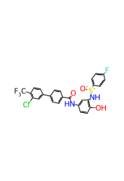 O=C(Nc1ccc(O)c(N[S+]([O-])c2ccc(F)cc2)c1)c1ccc(-c2ccc(C(F)(F)F)c(Cl)c2)cc1